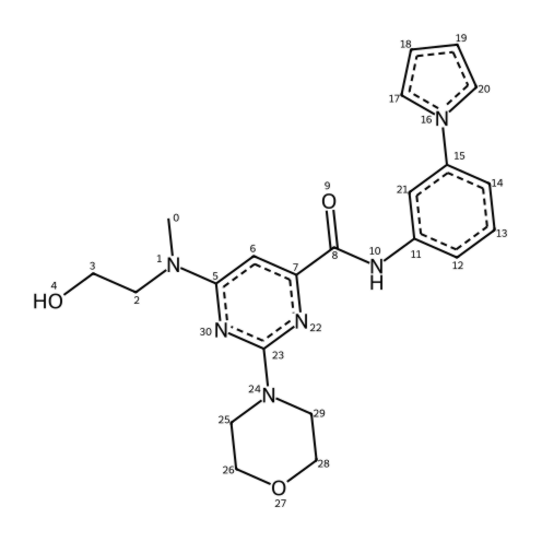 CN(CCO)c1cc(C(=O)Nc2cccc(-n3cccc3)c2)nc(N2CCOCC2)n1